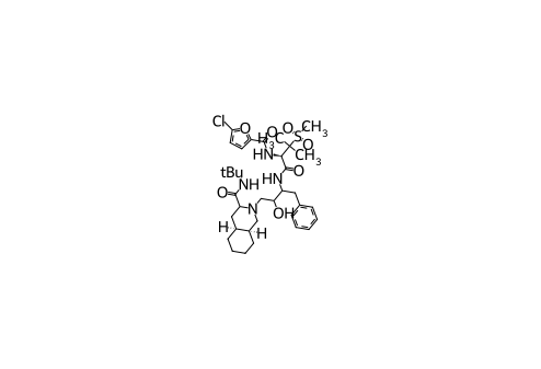 CC(C)(C)NC(=O)C1C[C@@H]2CCCC[C@@H]2CN1CC(O)C(Cc1ccccc1)NC(=O)[C@@H](NC(=O)c1ccc(Cl)o1)C(C)(C)S(C)(=O)=O